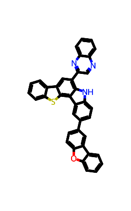 c1ccc2nc(-c3cc4c5ccccc5sc4c4c3[nH]c3ccc(-c5ccc6oc7ccccc7c6c5)cc34)cnc2c1